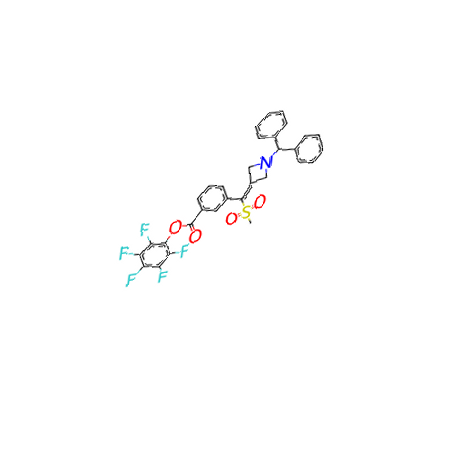 CS(=O)(=O)C(=C1CN(C(c2ccccc2)c2ccccc2)C1)c1cccc(C(=O)Oc2c(F)c(F)c(F)c(F)c2F)c1